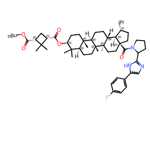 CCCCOC(=O)[C@@H]1C[C@H](C(=O)O[C@H]2CC[C@]3(C)[C@H]4CC[C@@H]5[C@H]6[C@H](C(C)C)CC[C@]6(C(=O)N6CCCC6c6ncc(-c7ccc(F)cc7)[nH]6)CC[C@@]5(C)[C@]4(C)CC[C@H]3C2(C)C)C1(C)C